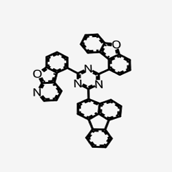 c1ccc2c(c1)-c1cccc3c(-c4nc(-c5cccc6oc7ccccc7c56)nc(-c5cccc6oc7ncccc7c56)n4)ccc-2c13